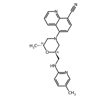 Cc1ccc(NC[C@@H]2CN(c3ccc(C#N)c4ncccc34)C[C@@H](C)O2)nc1